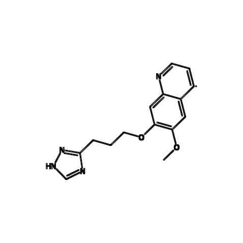 COc1cc2[c]ccnc2cc1OCCCc1nc[nH]n1